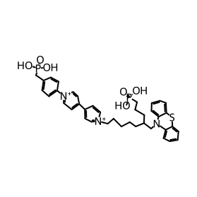 O=P(O)(O)CCCC(CCCCC[n+]1ccc(-c2cc[n+](-c3ccc(CP(=O)(O)O)cc3)cc2)cc1)CN1c2ccccc2Sc2ccccc21